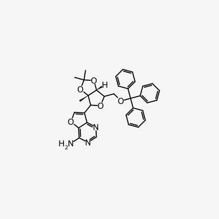 CC1(C)O[C@@H]2C(COC(c3ccccc3)(c3ccccc3)c3ccccc3)OC(c3coc4c(N)ncnc34)[C@]2(C)O1